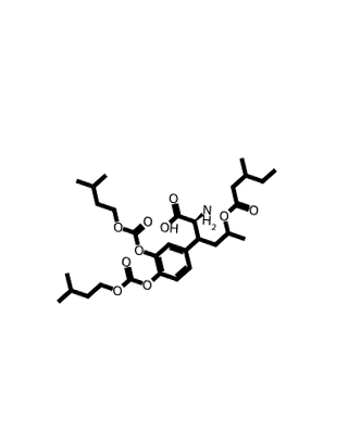 CCC(C)CC(=O)OC(C)CC(c1ccc(OC(=O)OCCC(C)C)c(OC(=O)OCCC(C)C)c1)[C@H](N)C(=O)O